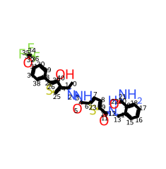 C/C(=N\NC(=O)c1ccc(C(=O)NCc2ccccc2C(N)=O)s1)c1csc(-c2ccc(OC(F)(F)F)cc2)c1O